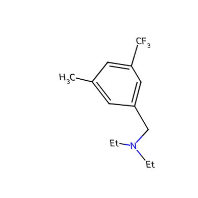 CCN(CC)Cc1cc(C)cc(C(F)(F)F)c1